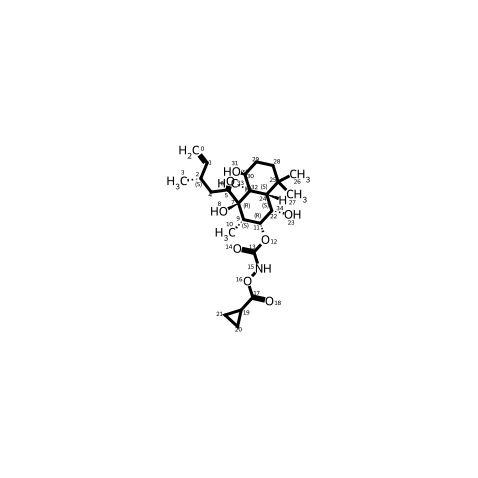 C=C[C@@H](C)CC(=O)[C@@]1(O)[C@@H](C)[C@@H](OC(=O)NOC(=O)C2CC2)[C@@H](O)[C@H]2C(C)(C)CC[C@H](O)[C@@]21C